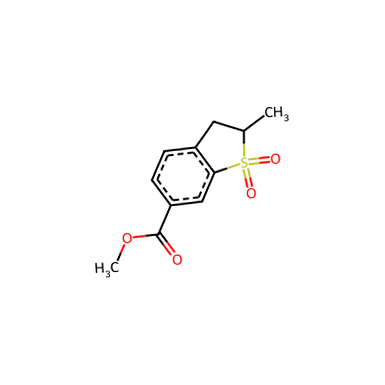 COC(=O)c1ccc2c(c1)S(=O)(=O)C(C)C2